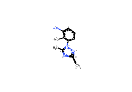 COc1c(N)cccc1-n1nc(C)nc1C